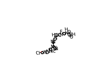 N#Cc1cnn2cc(-c3cnn(C4CCN(C(=O)CC5(O)CCN(c6ccc(NC7CCC(=O)NC7=O)cc6F)CC5)CC4)c3)nc(-c3ccc(N4CCCN(c5ccc(Cl)cc5)CC4)nc3)c12